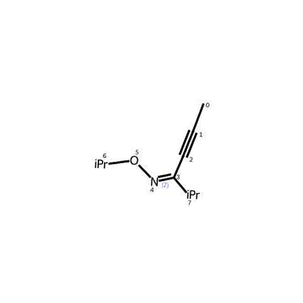 CC#C/C(=N\OC(C)C)C(C)C